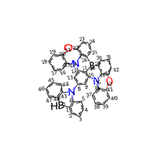 B1c2ccccc2N(c2cc3c4c(c2)N2c5ccccc5Oc5cccc(c52)B4c2cccc4c2N3c2ccccc2O4)c2ccccc21